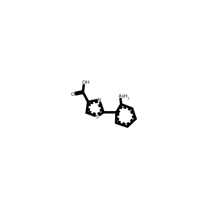 O=C(O)c1csc(-c2ccccc2[AsH2])n1